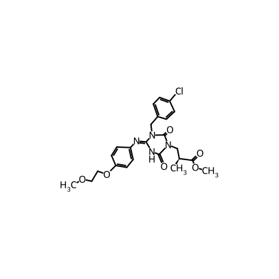 COCCOc1ccc(/N=c2\[nH]c(=O)n(C[C@H](C)C(=O)OC)c(=O)n2Cc2ccc(Cl)cc2)cc1